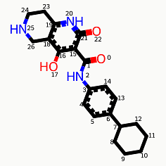 O=C(Nc1ccc(C2CCCCC2)cc1)c1c(O)c2c([nH]c1=O)CCNC2